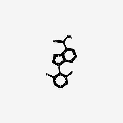 N=C(N)c1cccc2c1ncn2-c1c(F)cccc1F